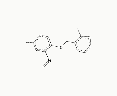 C=Nc1cc(C)ccc1OCc1ccccc1C